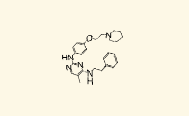 Cc1cnc(Nc2ccc(OCCN3CCCCC3)cc2)nc1NCCc1ccccc1